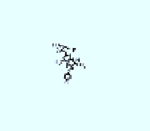 Cc1cc(N2C(=O)N(C)C[C@@H]2C2CC2)nc(N[C@@H](C)c2cn(-c3ccc(Cl)cc3)cn2)n1